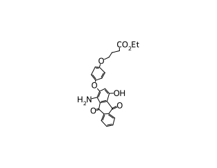 CCOC(=O)CCCOc1ccc(Oc2cc(O)c3c(c2N)C(=O)c2ccccc2C3=O)cc1